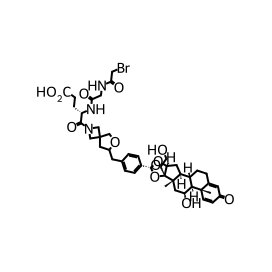 C[C@]12C=CC(=O)C=C1CC[C@@H]1[C@@H]2[C@@H](O)C[C@@]2(C)[C@H]1C[C@H]1O[C@@H](c3ccc(CC4CC5(CO4)CN(C(=O)[C@H](CCC(=O)O)NC(=O)CNC(=O)CBr)C5)cc3)O[C@]12C(=O)CO